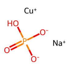 O=P([O-])([O-])O.[Cu+].[Na+]